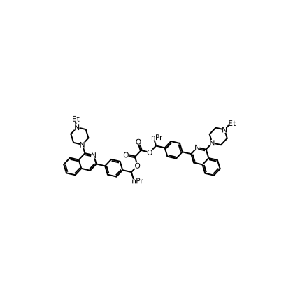 CCCC(OC(=O)C(=O)OC(CCC)c1ccc(-c2cc3ccccc3c(N3CCN(CC)CC3)n2)cc1)c1ccc(-c2cc3ccccc3c(N3CCN(CC)CC3)n2)cc1